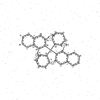 Oc1cc2ccccc2c(O)c1C(c1ccccc1)(c1ccccc1)c1c(O)cc2ccccc2c1O